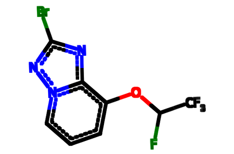 FC(Oc1cccn2nc(Br)nc12)C(F)(F)F